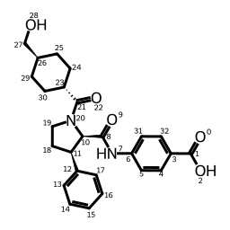 O=C(O)c1ccc(NC(=O)[C@H]2[C@@H](c3ccccc3)CCN2C(=O)[C@H]2CC[C@H](CO)CC2)cc1